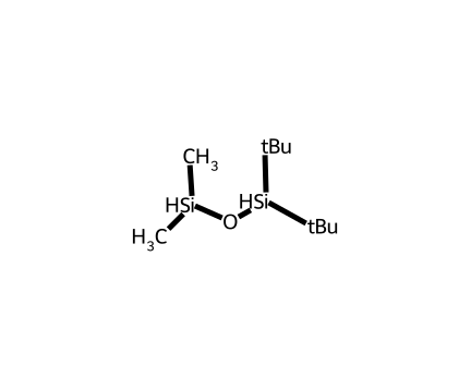 C[SiH](C)O[SiH](C(C)(C)C)C(C)(C)C